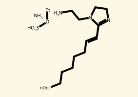 CCCCCCCCCCCCCCCC=CC1=NCCN1CCN.CCOS(=O)(=O)O.N